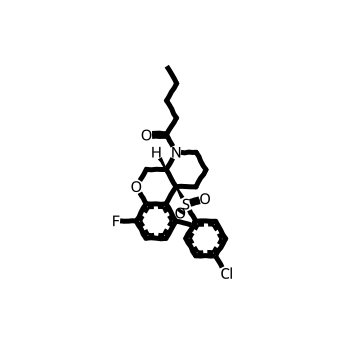 CCCCC(=O)N1CCC[C@]2(S(=O)(=O)c3ccc(Cl)cc3)c3c(F)ccc(F)c3OC[C@H]12